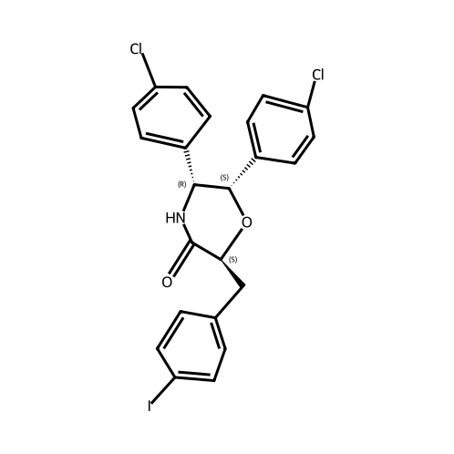 O=C1N[C@H](c2ccc(Cl)cc2)[C@H](c2ccc(Cl)cc2)O[C@H]1Cc1ccc(I)cc1